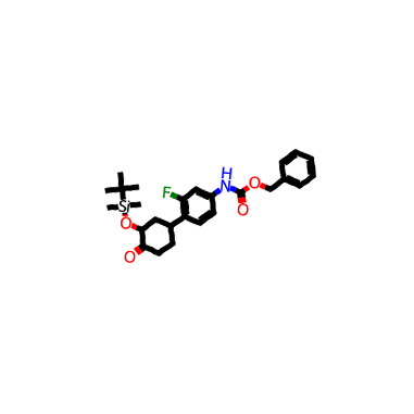 CC(C)(C)[Si](C)(C)OC1CC(c2ccc(NC(=O)OCc3ccccc3)cc2F)CCC1=O